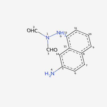 NN(C=O)C=O.Nc1ccc2ccccc2c1